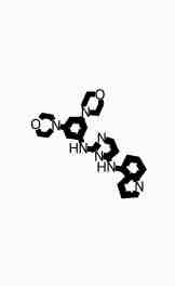 c1cc(Nc2ccnc(Nc3cc(N4CCOCC4)cc(N4CCOCC4)c3)n2)c2cccnc2c1